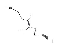 C#CCC/C(C)=C(\C)CCC#C